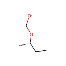 CC[C@H](C)OC[O]